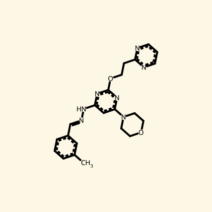 Cc1cccc(C=NNc2cc(N3CCOCC3)nc(OCCc3ncccn3)n2)c1